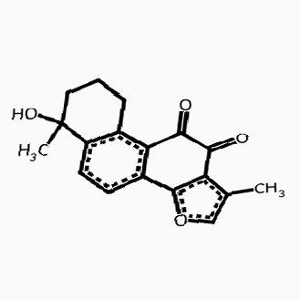 Cc1coc2c1C(=O)C(=O)c1c-2ccc2c1CCCC2(C)O